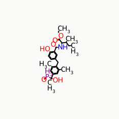 CCOC(=O)C(NC(=O)c1cc(Cc2c(C)cc(C(C)(O)[PH2]=O)cc2C)ccc1O)C(C)CC